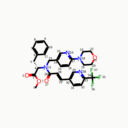 COC(=O)[C@H](Cc1ccccc1)N(Cc1ccc(N2CCOCC2)nc1)C(=O)/C=C/c1ccc(C(F)(F)F)nc1